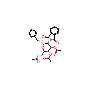 CC(=O)OC[C@H]1O[C@H](OCc2ccccc2)[C@@H](N2C(=O)c3ccccc3C2=O)[C@@H](OC(C)=O)[C@@H]1OC(C)=O